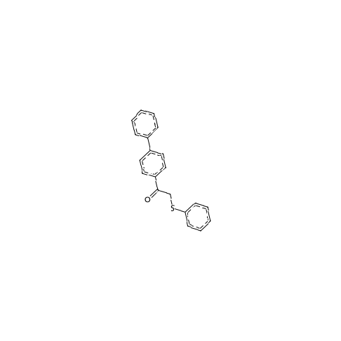 O=C(CSc1ccccc1)c1ccc(-c2ccccc2)cc1